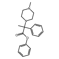 CN1CCN(C(C)(C(=O)Oc2ccccc2)c2ccccc2)CC1